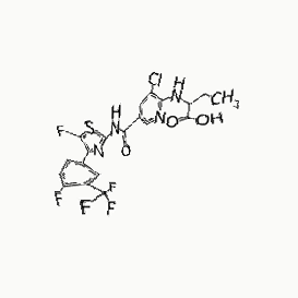 CCC(Nc1ncc(C(=O)Nc2nc(-c3ccc(F)c(C(F)(F)F)c3)c(F)s2)cc1Cl)C(=O)O